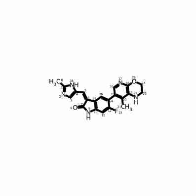 Cc1ncc(/C=C2\C(=O)Nc3cc(F)c(-c4cnc5c(c4C)NCCO5)cc32)[nH]1